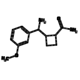 COc1cccc(C(N)C2CCC2C(N)=O)c1